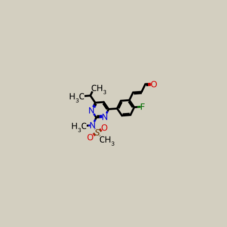 CC(C)c1cc(-c2ccc(F)c(/C=C/C=O)c2)nc(N(C)S(C)(=O)=O)n1